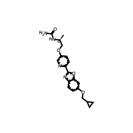 C[C@@H](COc1ccc(-c2nc3ccc(OCC4CC4)cc3o2)nc1)NC(N)=O